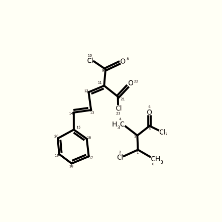 CC(Cl)C(C)C(=O)Cl.O=C(Cl)C(=CC=Cc1ccccc1)C(=O)Cl